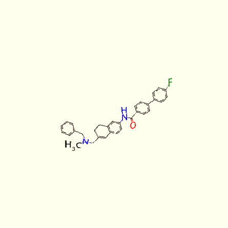 CN(CC1=Cc2ccc(NC(=O)c3ccc(-c4ccc(F)cc4)cc3)cc2CC1)Cc1ccccc1